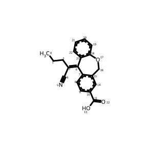 CCCC(C#N)=C1c2ccc(C(=O)O)cc2COc2ccccc21